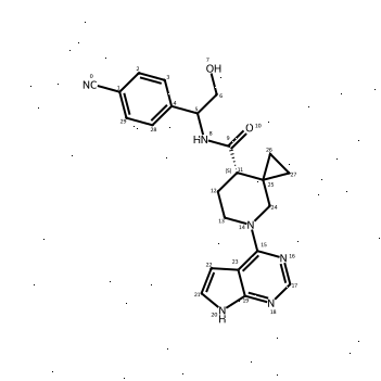 N#Cc1ccc(C(CO)NC(=O)[C@H]2CCN(c3ncnc4[nH]ccc34)CC23CC3)cc1